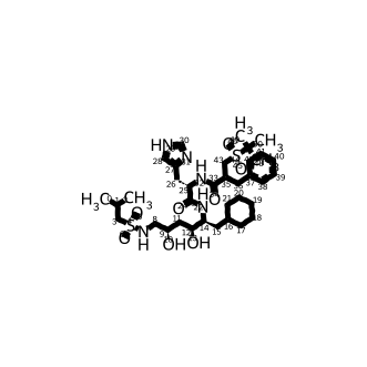 CC(C)CS(=O)(=O)NC[C@@H](O)C[C@H](O)[C@H](CC1CCCCC1)NC(=O)[C@H](Cc1c[nH]cn1)NC(=O)C(Cc1ccccc1)CS(=O)(=O)C(C)(C)C